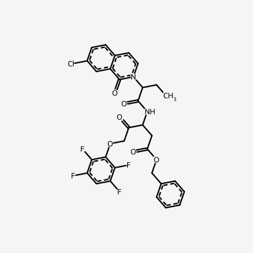 CCC(C(=O)NC(CC(=O)OCc1ccccc1)C(=O)COc1c(F)c(F)cc(F)c1F)n1ccc2ccc(Cl)cc2c1=O